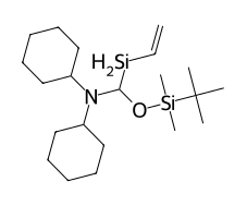 C=C[SiH2]C(O[Si](C)(C)C(C)(C)C)N(C1CCCCC1)C1CCCCC1